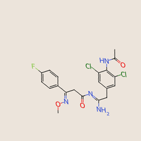 CON=C(CC(=O)N=C(N)Cc1cc(Cl)c(NC(C)=O)c(Cl)c1)c1ccc(F)cc1